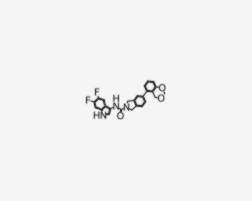 O=C(Nc1c[nH]c2cc(F)c(F)cc12)N1Cc2ccc(-c3cccc4c3COCO4)cc2C1